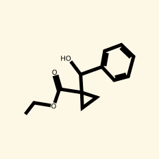 CCOC(=O)C1(C(O)c2ccccc2)CC1